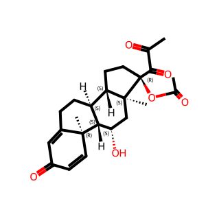 CC(=O)O[C@]1(C(=O)C(C)=O)CC[C@H]2[C@@H]3CCC4=CC(=O)C=C[C@]4(C)[C@H]3[C@@H](O)C[C@@]21C